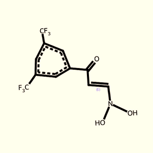 O=C(/C=C/N(O)O)c1cc(C(F)(F)F)cc(C(F)(F)F)c1